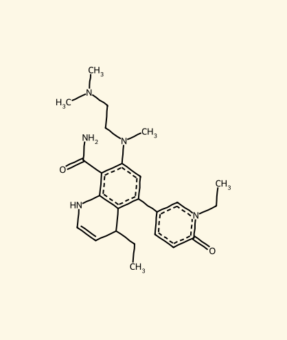 CCC1C=CNc2c(C(N)=O)c(N(C)CCN(C)C)cc(-c3ccc(=O)n(CC)c3)c21